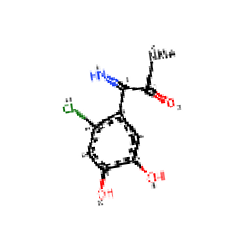 CNC(=O)C(=N)c1cc(O)c(O)cc1Cl